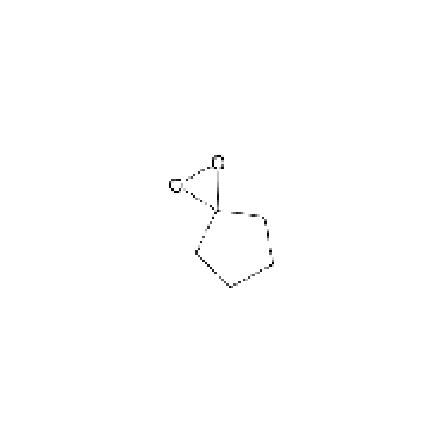 C1CCC2(C1)OO2